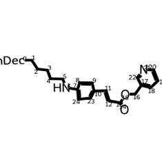 CCCCCCCCCCCCCCCNc1ccc(C=CC(=O)OCc2cccnc2)cc1